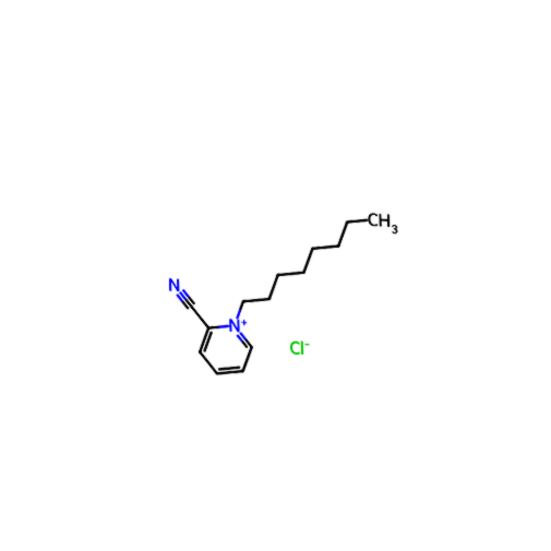 CCCCCCCC[n+]1ccccc1C#N.[Cl-]